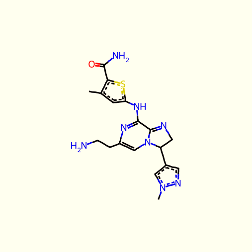 Cc1cc(NC2=NC(CCN)=CN3C2=NCC3c2cnn(C)c2)sc1C(N)=O